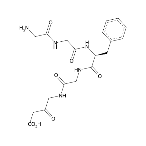 NCC(=O)NCC(=O)N[C@@H](Cc1ccccc1)C(=O)NCC(=O)NCC(=O)CC(=O)O